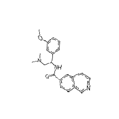 COc1cccc(C(CN(C)C)NC(=O)c2ccc3cnccc3c2)c1